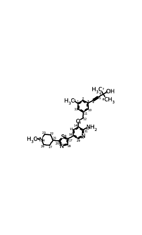 Cc1cc(C#CC(C)(C)O)cc(COc2cc(-c3cnc(C4CCN(C)CC4)s3)cnc2N)c1